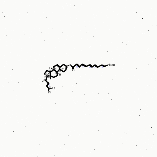 CCCCCCCCC/C=C/C=C/C=C/C=C/C=C/C(=O)O[C@H]1CC[C@@]2(C)C(=CC[C@H]3[C@@H]4CC[C@H]([C@H](C)/C=C/[C@@H](CC)C(C)C)[C@@]4(C)CC[C@@H]32)C1